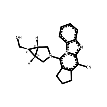 N#Cc1c2c(c(N3C[C@@H]4[C@@H](CO)[C@@H]4C3)n3c1nc1ccccc13)CCC2